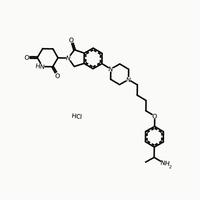 CC(N)c1ccc(OCCCCN2CCN(c3ccc4c(c3)CN(C3CCC(=O)NC3=O)C4=O)CC2)cc1.Cl